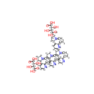 Cc1ncccc1[C@@H]1CCCN1C.Cc1ncccc1[C@@H]1CCCN1C.Cc1ncccc1[C@@H]1CCCN1C.Cc1ncccc1[C@@H]1CCCN1C.O=C(O)C(O)C(O)C(=O)O.O=C(O)C(O)C(O)C(=O)O